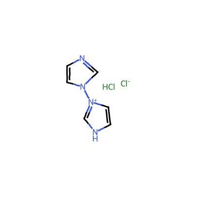 Cl.[Cl-].c1cn(-[n+]2cc[nH]c2)cn1